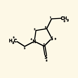 CCC1CN(CC)C(=S)S1